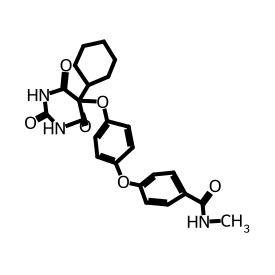 CNC(=O)c1ccc(Oc2ccc(OC3(C4CCCCC4)C(=O)NC(=O)NC3=O)cc2)cc1